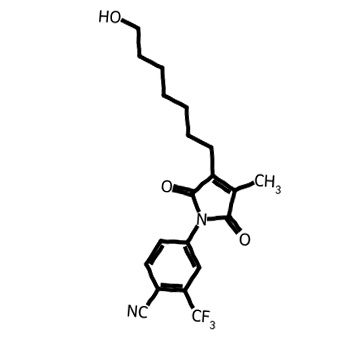 CC1=C(CCCCCCCO)C(=O)N(c2ccc(C#N)c(C(F)(F)F)c2)C1=O